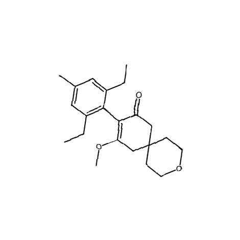 CCc1cc(C)cc(CC)c1C1=C(OC)CC2(CCOCC2)CC1=O